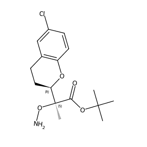 CC(C)(C)OC(=O)[C@@](C)(ON)[C@H]1CCc2cc(Cl)ccc2O1